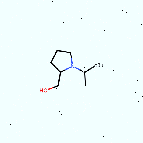 CC(N1CCCC1CO)C(C)(C)C